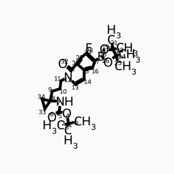 CC(C)(C)OC(=O)NC1(CCCn2ccc3cc(B4OC(C)(C)C(C)(C)O4)c(F)cc3c2=O)CC1